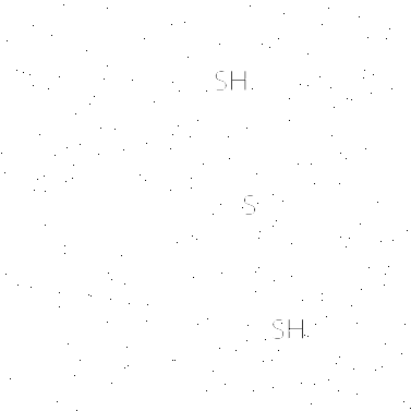 SC1=CC=CC(S)S1